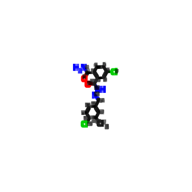 NC(=O)c1ccc(Cl)cc1C(=O)NN=Cc1ccc(Cl)c(C(F)(F)F)c1